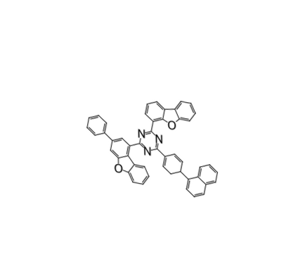 C1=CC(c2cccc3ccccc23)CC=C1c1nc(-c2cccc3c2oc2ccccc23)nc(-c2cc(-c3ccccc3)cc3oc4ccccc4c23)n1